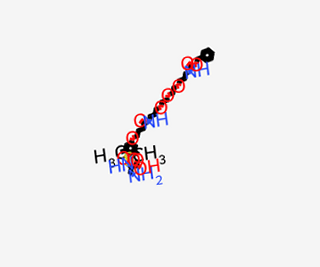 Cc1cc(OCCCC(=O)NCCCOCCOCCOCCCNC(=O)OCc2ccccc2)cc(C)c1S(=O)(=O)NC(CN)C(=O)O